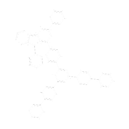 c1ccc(-c2ccc(-c3nc(-c4ccc(-c5ccccc5)cc4)nc(-c4ccc(-c5nc(-c6ccccc6)nc6c7ccccc7c(-c7ccccc7)n56)cc4)n3)cc2)cc1